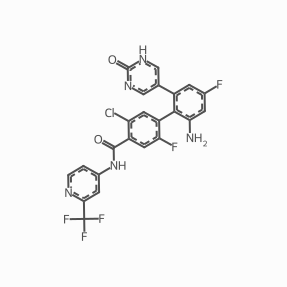 Nc1cc(F)cc(-c2cnc(=O)[nH]c2)c1-c1cc(Cl)c(C(=O)Nc2ccnc(C(F)(F)F)c2)cc1F